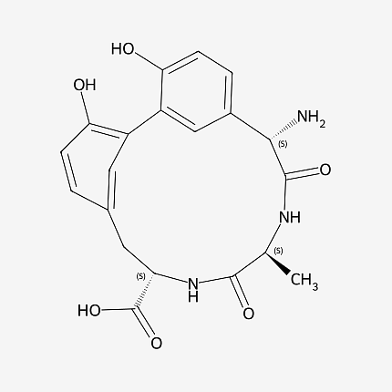 C[C@@H]1NC(=O)[C@@H](N)c2ccc(O)c(c2)-c2cc(ccc2O)C[C@@H](C(=O)O)NC1=O